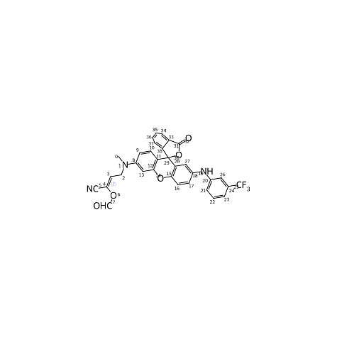 CN(C/C=C(/C#N)OC=O)c1ccc2c(c1)Oc1ccc(Nc3cccc(C(F)(F)F)c3)cc1C21OC(=O)c2ccccc21